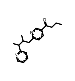 CCCC(=O)c1ccc(CC(C)C(C)c2ccccn2)nc1